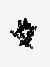 Cc1cc(-c2nc(Nc3ccc(N4CCN(CC(C)(C)O)CC4)cn3)ncc2P)cc2c1nc(C)n2C(C)C